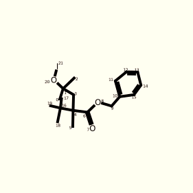 CC(C)(CC(C)(C(=O)OCc1ccccc1)C(C)(C)C)OI